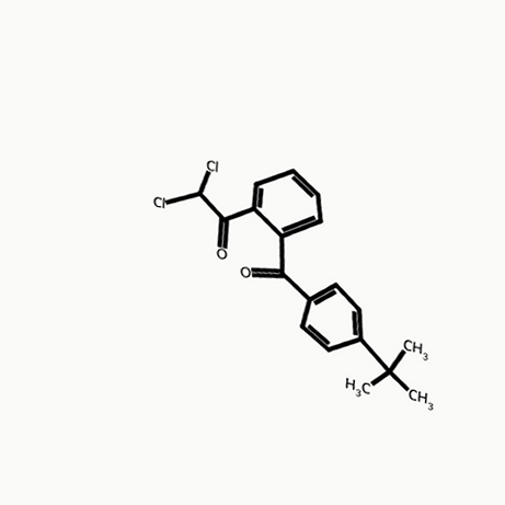 CC(C)(C)c1ccc(C(=O)c2ccccc2C(=O)C(Cl)Cl)cc1